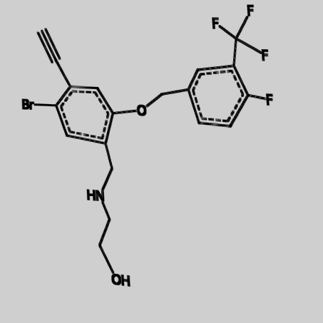 C#Cc1cc(OCc2ccc(F)c(C(F)(F)F)c2)c(CNCCO)cc1Br